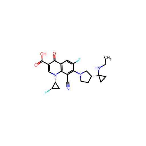 CCNC1([C@@H]2CCN(c3c(F)cc4c(=O)c(C(=O)O)cn([C@@H]5C[C@H]5F)c4c3C#N)C2)CC1